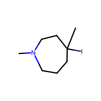 CN1CCCC(C)(I)CC1